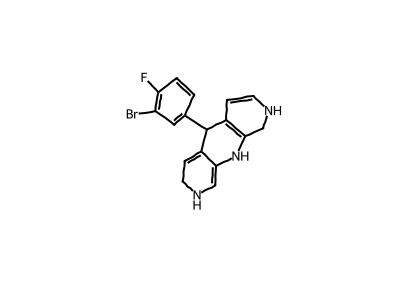 Fc1ccc(C2C3=CCNC=C3NC3=C2C=CNC3)cc1Br